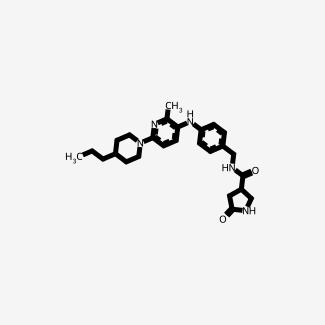 CCCC1CCN(c2ccc(Nc3ccc(CNC(=O)C4CNC(=O)C4)cc3)c(C)n2)CC1